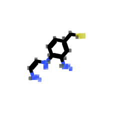 N/C=C\Nc1ccc(CS)cc1N